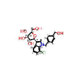 OCc1ccc(Cn2cc([C@@H]3O[C@H](CO)[C@@H](O)[C@H](O)[C@H]3O)c3cccc(Cl)c32)cc1